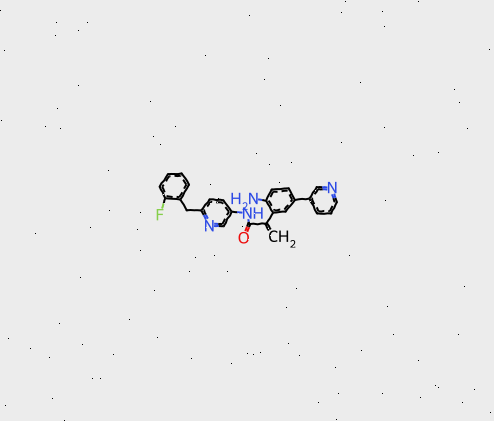 C=C(C(=O)Nc1ccc(Cc2ccccc2F)nc1)c1cc(-c2cccnc2)ccc1N